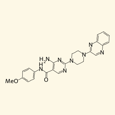 COc1ccc(NC(=O)c2cnc(N3CCN(c4cnc5ccccc5n4)CC3)nc2N)cc1